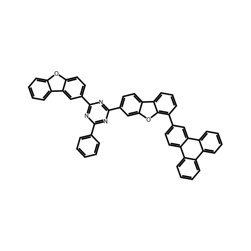 c1ccc(-c2nc(-c3ccc4c(c3)oc3c(-c5ccc6c7ccccc7c7ccccc7c6c5)cccc34)nc(-c3ccc4oc5ccccc5c4c3)n2)cc1